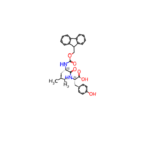 CC(C)C[C@H](NC(=O)OCC1c2ccccc2-c2ccccc21)C(=O)N[C@@H](Cc1ccc(O)cc1)C(=O)O